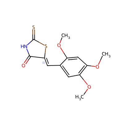 COc1cc(OC)c(OC)cc1/C=C1\SC(=S)NC1=O